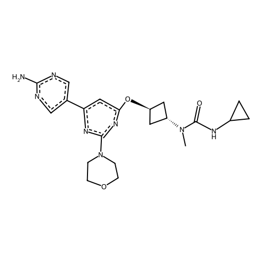 CN(C(=O)NC1CC1)[C@H]1C[C@H](Oc2cc(-c3cnc(N)nc3)nc(N3CCOCC3)n2)C1